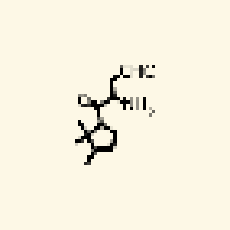 CC1=CCC(C(=O)C(N)CC=O)C1(C)C